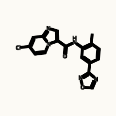 Cc1ccc(-c2ncon2)cc1NC(=O)c1cnc2cc(Cl)ccn12